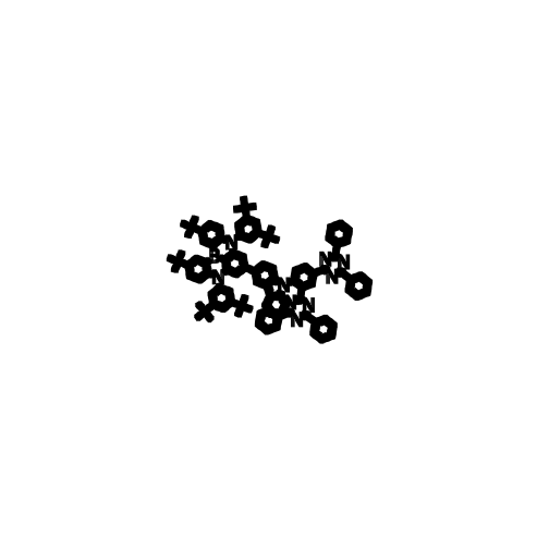 CC(C)(C)c1cc(N2c3ccc(C(C)(C)C)cc3B3c4cc(C(C)(C)C)ccc4N(c4cc(C(C)(C)C)cc(C(C)(C)C)c4)c4cc(-c5ccc6c(c5)c5ccccc5n6-c5ccc(-c6nc(-c7ccccc7)nc(-c7ccccc7)n6)cc5-c5nc(-c6ccccc6)nc(-c6ccccc6)n5)cc2c43)cc(C(C)(C)C)c1